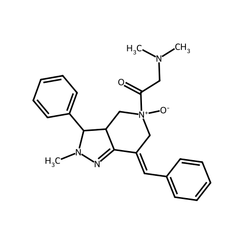 CN(C)CC(=O)[N+]1([O-])CC(=Cc2ccccc2)C2=NN(C)C(c3ccccc3)C2C1